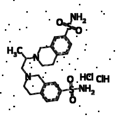 CC(CN1CCc2ccc(S(N)(=O)=O)cc2C1)N1CCc2ccc(S(N)(=O)=O)cc2C1.Cl.Cl